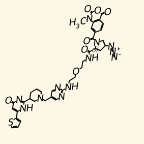 Cn1c(=O)oc(=O)c2ccc(C(=O)N3CC(N=[N+]=[N-])C[C@H]3C(=O)NCCOCCNc3ncc(CN4CCCC(c5nc(=O)cc(-c6cccs6)[nH]5)C4)cn3)cc21